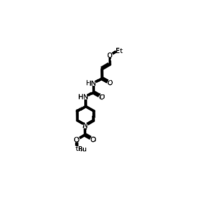 CCO/C=C/C(=O)NC(=O)NC1CCN(C(=O)OC(C)(C)C)CC1